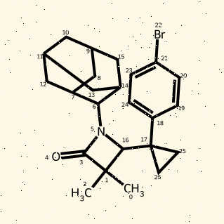 CC1(C)C(=O)N(C2C3CC4CC(C3)CC2C4)C1C1(c2ccc(Br)cc2)CC1